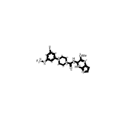 COC1=Nc2ccsc2NC1NC(=O)N1CCN(c2cc(F)cc(OC(F)(F)F)c2)CC1